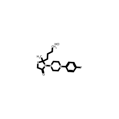 CCCCC1(C)SCC(=O)N1N1CCN(c2ccc(F)cc2)CC1.Cl